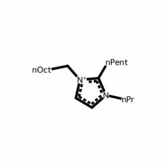 CCCCCCCCC[n+]1ccn(CCC)c1CCCCC